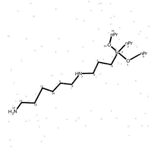 CCCO[Si](CCC)(CCCNCCCCCCN)OCCC